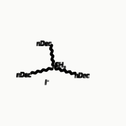 CCCCCCCCCCCCCCCCCC[N+](C)(CCCCCCCCCCCCCCCCCC)CCCCCCCCCCCCCCCCCC.[I-]